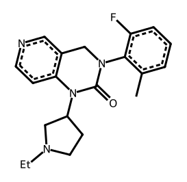 CCN1CCC(N2C(=O)N(c3c(C)cccc3F)Cc3cnccc32)C1